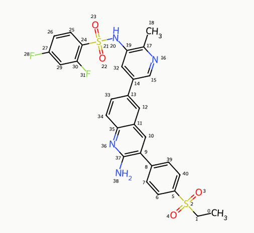 CCS(=O)(=O)c1ccc(-c2cc3cc(-c4cnc(C)c(NS(=O)(=O)c5ccc(F)cc5F)c4)ccc3nc2N)cc1